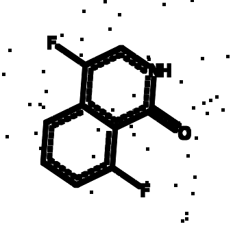 O=c1[nH]cc(F)c2cccc(F)c12